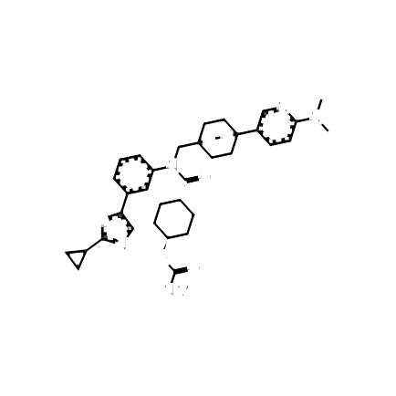 CNC(=O)O[C@H]1CC[C@H](C(=O)N(CC23CCC(c4ccc(N(C)C)nc4)(CC2)CC3)c2cccc(-c3cnc(C4CC4)s3)c2)CC1